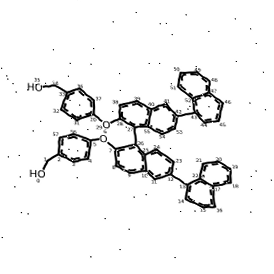 OCc1ccc(Oc2ccc3cc(-c4cccc5ccccc45)ccc3c2-c2c(Oc3ccc(CO)cc3)ccc3cc(-c4cccc5ccccc45)ccc23)cc1